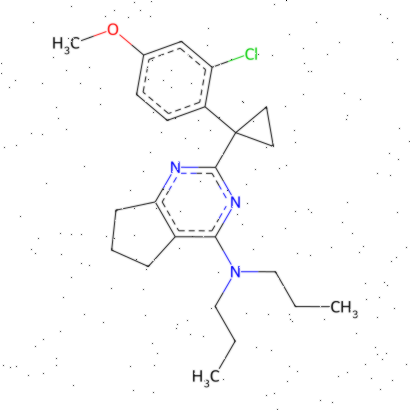 CCCN(CCC)c1nc(C2(c3ccc(OC)cc3Cl)CC2)nc2c1CCC2